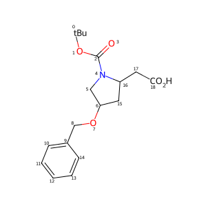 CC(C)(C)OC(=O)N1CC(OCc2ccccc2)CC1CC(=O)O